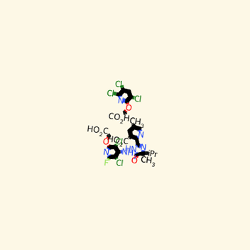 Cc1cnc(C2=NC(C)(C(C)C)C(=O)N2)c(C(=O)O)c1.Nc1c(Cl)c(F)nc(OCC(=O)O)c1Cl.O=C(O)COc1nc(Cl)c(Cl)cc1Cl